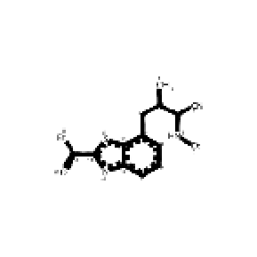 CCNC(C#N)C(C)Cc1cccc2nc(C(=O)CC)sc12